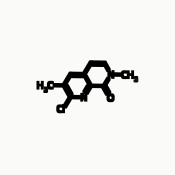 Cc1cc2ccn(C)c(=O)c2nc1Cl